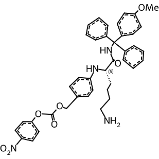 COc1ccc(C(NC(=O)[C@H](CCCCN)Nc2ccc(COC(=O)Oc3ccc([N+](=O)[O-])cc3)cc2)(c2ccccc2)c2ccccc2)cc1